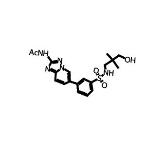 CC(=O)Nc1nc2ccc(-c3cccc(S(=O)(=O)NCC(C)(C)CO)c3)cn2n1